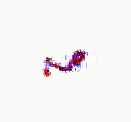 CC[N+]1=C(/C=C/C=C/C=C2\N(CCCCCC(=O)NCCN3C(=O)CC(SC[C@H](NC(=O)CCNC(=O)[C@H](CCC(=O)O)NCC(=O)COCCOCCNC(=O)CNC(=O)[C@H](CC(C)C)NC(=O)[C@H](CCCCN)NC(=O)[C@H](CO)NC(=O)[C@H](CCCNC(=N)N)NC(=O)OCc4ccccc4)C(=O)O)C3=O)c3ccc(S(=O)(=O)O)cc3C2(C)C)C(C)(C)c2cc(S(=O)(=O)[O-])ccc21